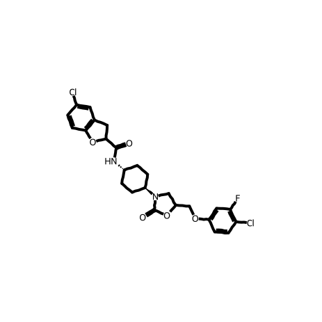 O=C(N[C@H]1CC[C@H](N2CC(COc3ccc(Cl)c(F)c3)OC2=O)CC1)C1Cc2cc(Cl)ccc2O1